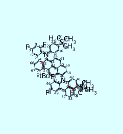 CC(C)(C)c1ccc(-c2cc(F)cc(F)c2N(c2ccc([Si](C)(C)C)cc2)c2ccc3ccc4c(N(c5ccc([Si](C)(C)C)cc5)c5c(F)cc(F)cc5-c5cccc(C(C)(C)C)c5)ccc5ccc2c3c54)cc1